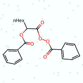 CCCCCCC(OC(=O)c1ccccc1)C(=O)OOC(=O)c1ccccc1